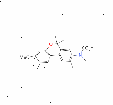 COc1cc2c(cc1C)-c1cc(C)c(N(C)C(=O)O)cc1C(C)(C)O2